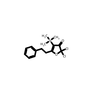 C[Si](C)(C)C1=C(CCc2ccccc2)OC(Cl)(Cl)C1=O